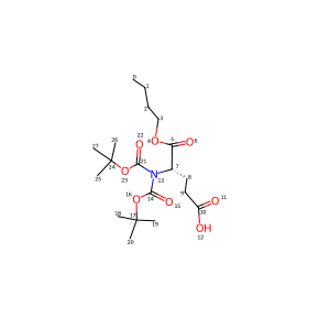 CCCCOC(=O)[C@H](CCC(=O)O)N(C(=O)OC(C)(C)C)C(=O)OC(C)(C)C